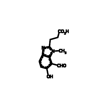 Cn1c(CCC(=O)O)nc2ccc(O)c(C=O)c21